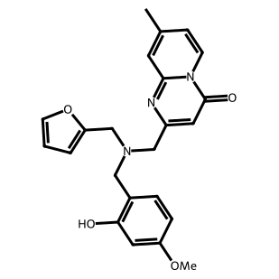 COc1ccc(CN(Cc2cc(=O)n3ccc(C)cc3n2)Cc2ccco2)c(O)c1